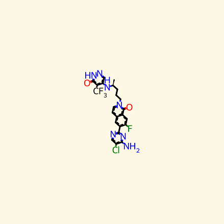 C[C@@H](CCCn1ccc2cc(-c3ncc(Cl)c(N)n3)c(F)cc2c1=O)Nc1cn[nH]c(=O)c1C(F)(F)F